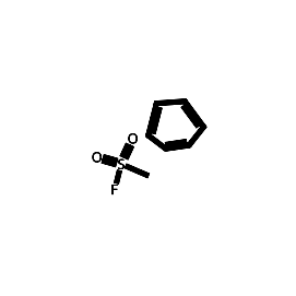 CS(=O)(=O)F.c1ccccc1